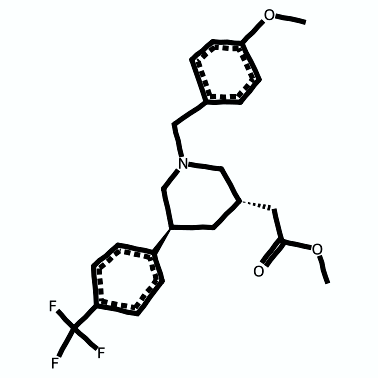 COC(=O)C[C@@H]1C[C@@H](c2ccc(C(F)(F)F)cc2)CN(Cc2ccc(OC)cc2)C1